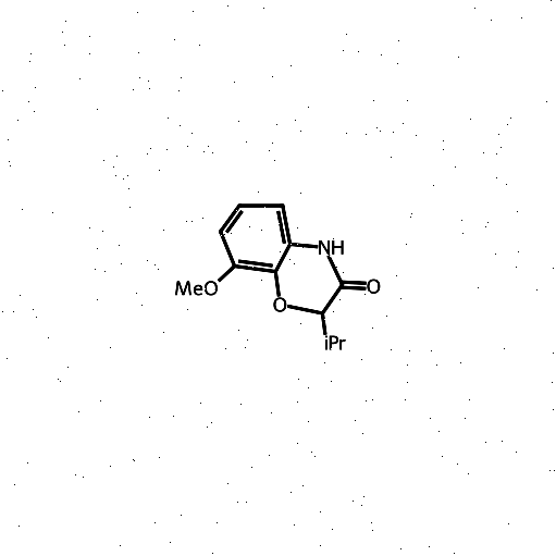 COc1cccc2c1OC(C(C)C)C(=O)N2